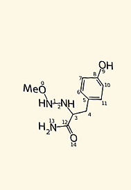 CONNC(Cc1ccc(O)cc1)C(N)=O